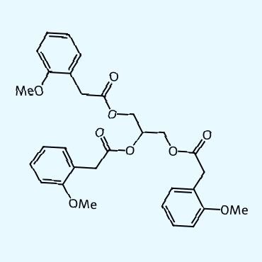 COc1ccccc1CC(=O)OCC(COC(=O)Cc1ccccc1OC)OC(=O)Cc1ccccc1OC